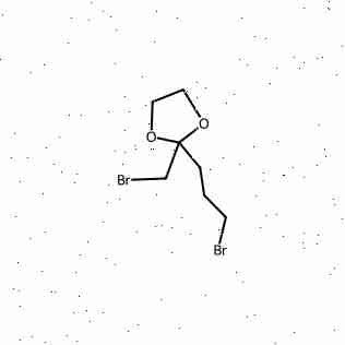 BrCCCC1(CBr)OCCO1